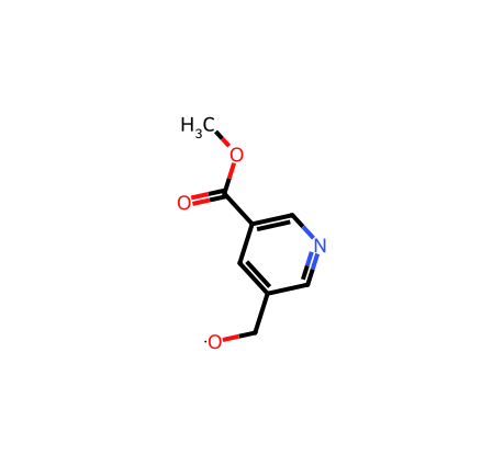 COC(=O)c1cncc(C[O])c1